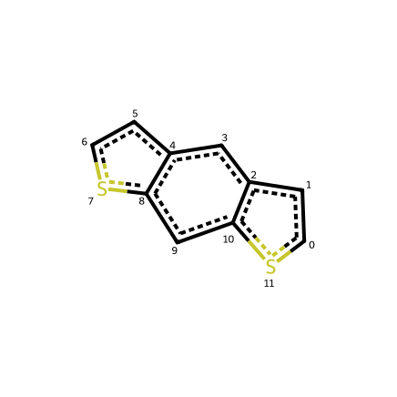 c1cc2cc3ccsc3cc2s1